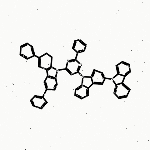 C1=C(c2ccccc2)CCc2c1c1cc(-c3ccccc3)ccc1n2-c1cc(-n2c3ccccc3c3cc(-n4c5ccccc5c5ccccc54)ccc32)nc(-c2ccccc2)n1